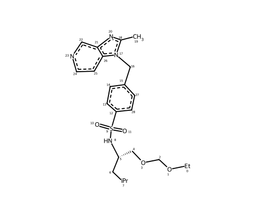 CCOCOC[C@H](CC(C)C)NS(=O)(=O)c1ccc(Cn2c(C)nc3cnccc32)cc1